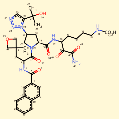 CC1(CC(NC(=O)c2ccc3ccccc3c2)C(=O)N2C[C@@H](n3nncc3C(C)(C)O)C[C@H]2C(=O)NC(CCCCNC(=O)O)C(=O)C(N)=O)COC1